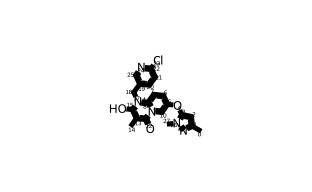 Cc1cc(Oc2ccc3n(c2)c(=O)c(C)c(O)[n+]3Cc2ccc(Cl)nc2)n(C)n1